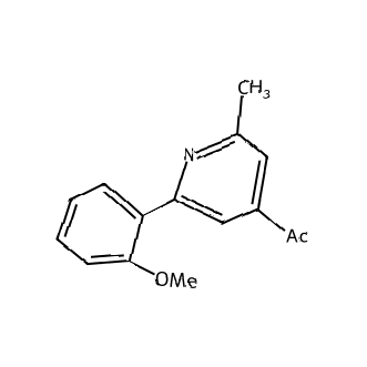 COc1ccccc1-c1cc(C(C)=O)cc(C)n1